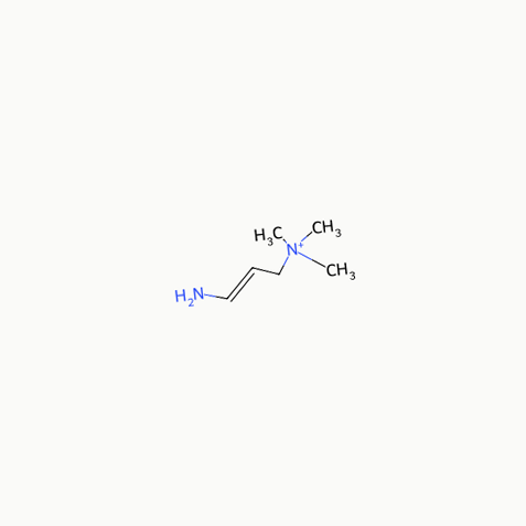 C[N+](C)(C)CC=CN